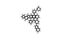 c1ccc(-c2cccc(-c3ccc(N(c4cc(-c5ccc6ccccc6c5)ccc4-c4ccccc4)c4ccccc4-c4cccc5oc6c7ccccc7ccc6c45)cc3)c2)cc1